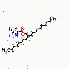 CCCCCCCCCCC(CCCCCCCC)COC(=O)C(C)N